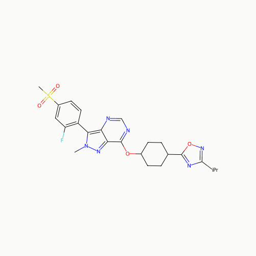 CC(C)c1noc(C2CCC(Oc3ncnc4c(-c5ccc(S(C)(=O)=O)cc5F)n(C)nc34)CC2)n1